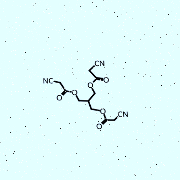 N#CCC(=O)OCC(COC(=O)CC#N)COC(=O)CC#N